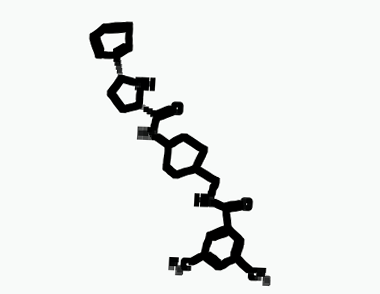 O=C(NCC1CCC(NC(=O)[C@@H]2CC[C@H](c3ccccc3)N2)CC1)c1cc(C(F)(F)F)cc(C(F)(F)F)c1